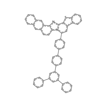 c1ccc(-c2cc(-c3ccccc3)cc(-c3ccc(-c4ccc(-c5cc6c7ccccc7sc6c6nc7c8cc9ccccc9cc8ccc7n56)cc4)cc3)c2)cc1